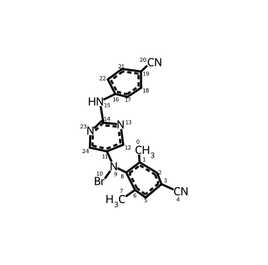 Cc1cc(C#N)cc(C)c1N(Br)c1cnc(Nc2ccc(C#N)cc2)nc1